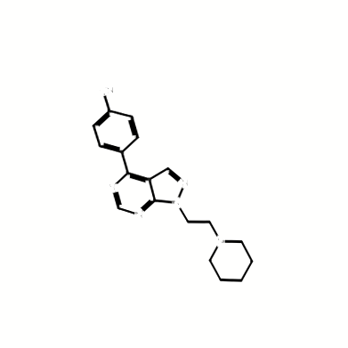 N#Cc1ccc(-c2ncnc3c2cnn3CCN2CCCCC2)cc1